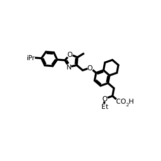 CCOC(Cc1ccc(OCc2nc(-c3ccc(C(C)C)cc3)oc2C)c2c1CCCC2)C(=O)O